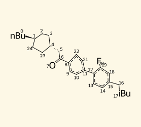 CCCC[C@H]1CC[C@H](CC(=O)c2ccc(-c3ccc(CC(C)CC)cc3F)cc2)CC1